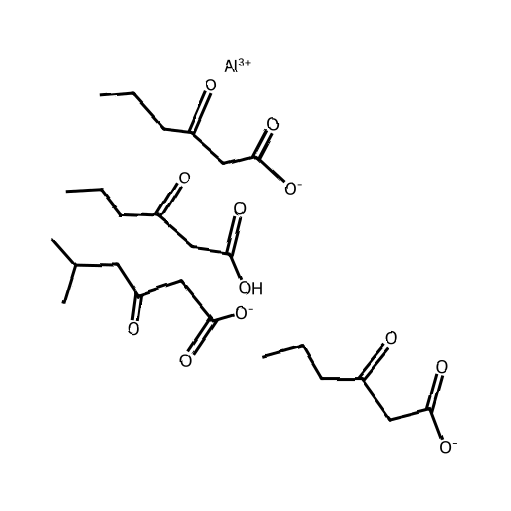 CC(C)CC(=O)CC(=O)[O-].CCCC(=O)CC(=O)O.CCCC(=O)CC(=O)[O-].CCCC(=O)CC(=O)[O-].[Al+3]